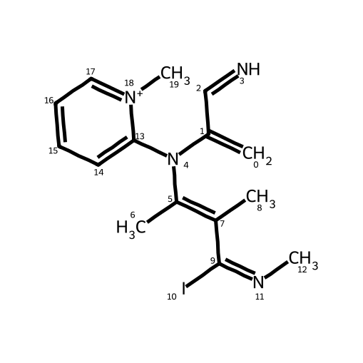 C=C(C=N)N(/C(C)=C(C)/C(I)=N\C)c1cccc[n+]1C